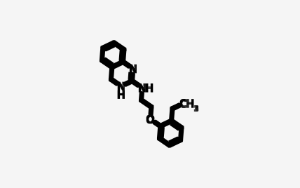 CCc1ccccc1OCCNC1=Nc2ccccc2CN1